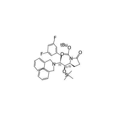 CC(C)(C)OC(=O)N1C(=O)CC[C@H]1[C@@H](O[Si](C)(C)C)[C@H](Cc1cc(F)cc(F)c1)N(Cc1ccccc1)Cc1ccccc1